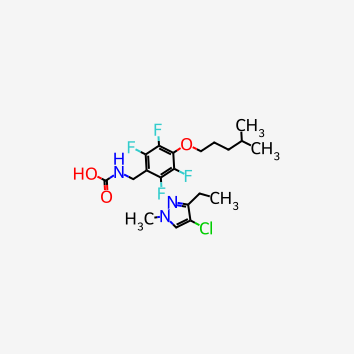 CC(C)CCCOc1c(F)c(F)c(CNC(=O)O)c(F)c1F.CCc1nn(C)cc1Cl